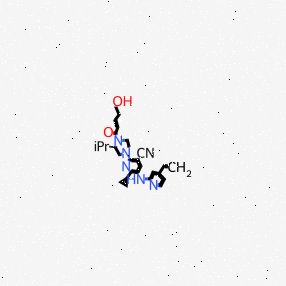 C=Cc1ccnc(Nc2cc(C#N)c(N3CCN(C(=O)/C=C/CCO)[C@H](C(C)C)C3)nc2C2CC2)c1